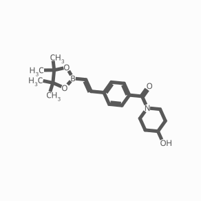 CC1(C)OB(/C=C/c2ccc(C(=O)N3CCC(O)CC3)cc2)OC1(C)C